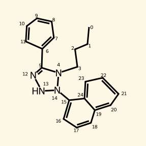 CCCCN1C(c2ccccc2)=NNN1c1cccc2ccccc12